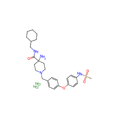 CS(=O)(=O)Nc1ccc(Oc2ccc(CN3CCC(N)(C(=O)NCC4CCCCC4)CC3)cc2)cc1.Cl.Cl